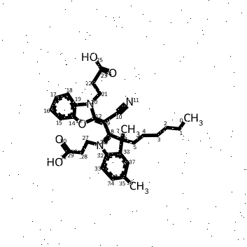 CCCCCCC1(C)C(/C(C#N)=C2\Oc3ccccc3N2CCC(=O)O)=[N+](CCC(=O)O)c2ccc(C)cc21